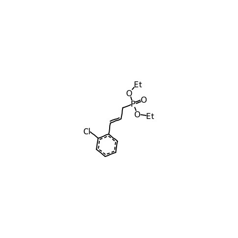 CCOP(=O)(CC=Cc1ccccc1Cl)OCC